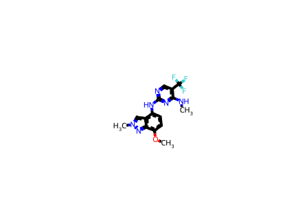 CNc1nc(Nc2ccc(OC)c3nn(C)cc23)ncc1C(F)(F)F